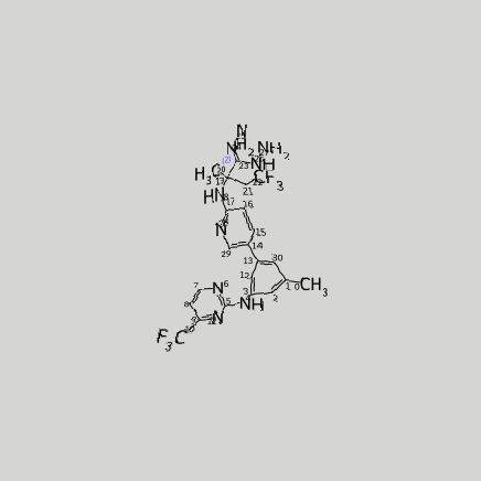 Cc1cc(Nc2nccc(C(F)(F)F)n2)cc(-c2ccc(NC(C)(CC(F)(F)F)/C(=N/N)NN)nc2)c1